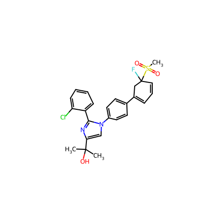 CC(C)(O)c1cn(-c2ccc(C3=CC=CC(F)(S(C)(=O)=O)C3)cc2)c(-c2ccccc2Cl)n1